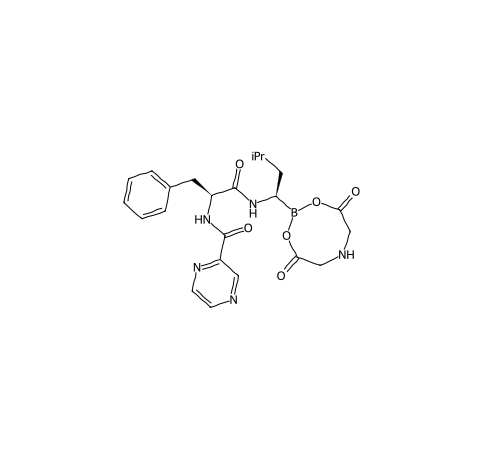 CC(C)C[C@H](NC(=O)[C@H](Cc1ccccc1)NC(=O)c1cnccn1)B1OC(=O)CNCC(=O)O1